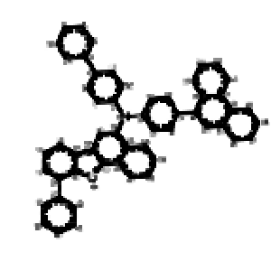 c1ccc(-c2ccc(N(c3ccc(-c4cc5ccccc5c5ccccc45)cc3)c3cc4c5cccc(-c6ccccc6)c5oc4c4ccccc34)cc2)cc1